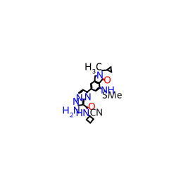 CSNc1cc(-c2ccn3nc(N)c(C(=O)NC4(C#N)CCC4)c3n2)cc2c1C(=O)N(C(C)C1CC1)C2